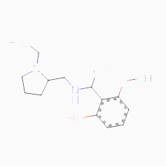 CCN1CCCC1CNC(C)c1c(O)cccc1OC